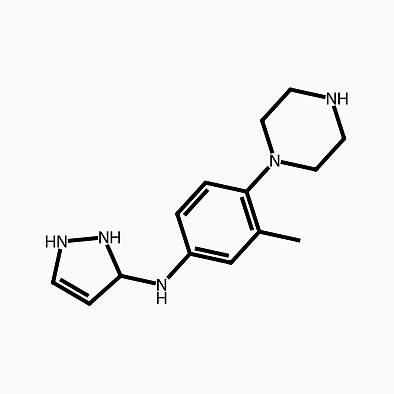 Cc1cc(NC2C=CNN2)ccc1N1CCNCC1